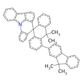 CC1(C)c2ccccc2-c2ccc(-c3cccc4c3C(C)(C)c3ccccc3C43c4ccccc4-n4c5ccccc5c5cccc3c54)cc21